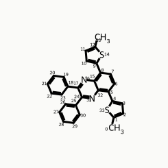 Cc1ccc(-c2ccc(-c3ccc(C)s3)c3nc(-c4ccccc4)c(-c4ccccc4)nc23)s1